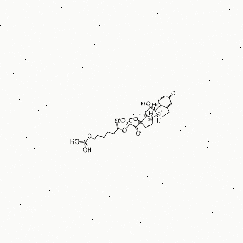 CCOC(=O)O[C@]1(C(=O)COC(=O)CCCCCON(O)O)CC[C@H]2[C@@H]3CCC4=CC(=O)C=C[C@]4(C)[C@H]3[C@@H](O)C[C@@]21C